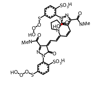 CNC(=O)C1=NN(c2cc(SOOO)ccc2S(=O)(=O)O)C(=O)\C1=C/C=C(/C=C\c1c(C(=O)NC)nn(-c2cc(SOOO)ccc2S(=O)(=O)O)c1O)N1CCCC1=O